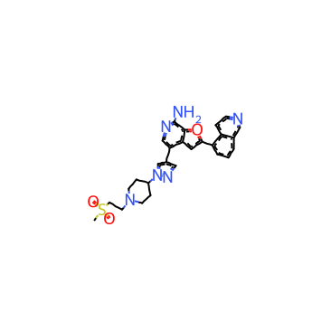 CS(=O)(=O)CCN1CCC(n2cc(-c3cnc(N)c4oc(-c5cccc6cnccc56)cc34)cn2)CC1